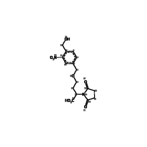 O=C(O)C(CCOCc1ccc(CO)c([N+](=O)[O-])c1)N1C(=O)CCC1=O